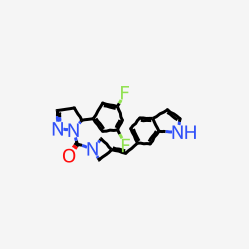 O=C(N1CC(=Cc2ccc3cc[nH]c3c2)C1)N1N=CCC1c1cc(F)cc(F)c1